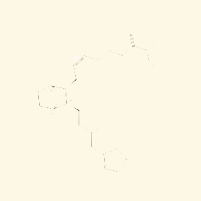 CCN(O)C(=O)CCC/C=C\C[C@H]1[C@@H](CCC(O)CC2CCCC2)[C@H]2CC[C@@H]1O2